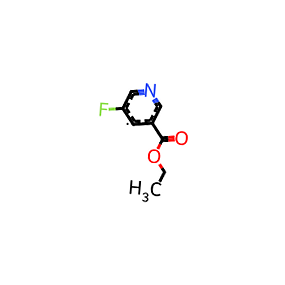 CCOC(=O)c1[c]c(F)cnc1